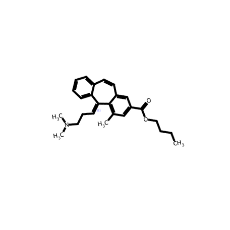 CCCCOC(=O)c1cc(C)c2c(c1)C=Cc1ccccc1/C2=C\CCN(C)C